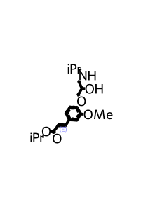 COc1cc(/C=C/C(=O)OC(C)C)ccc1OCC(O)CNC(C)C